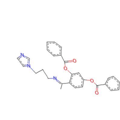 C/C(=N\CCCn1ccnc1)c1ccc(OC(=O)c2ccccc2)cc1OC(=O)c1ccccc1